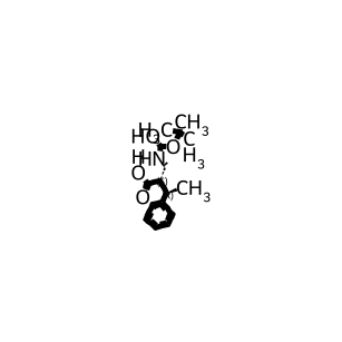 C[C@@H](c1ccccc1)[C@@H](CNC(O)OC(C)(C)C)C(=O)O